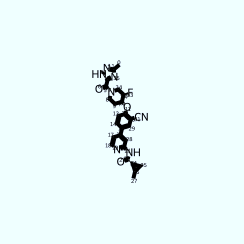 Cc1n[nH]c(C(=O)N2CC[C@H](Oc3ccc(-c4ccnc(NC(=O)[C@@H]5CC5C)c4)cc3C#N)[C@H](F)C2)n1